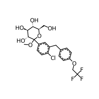 COC1(c2ccc(Cl)c(Cc3ccc(OCC(F)(F)F)cc3)c2)O[C@H](CO)[C@@H](O)[C@H](O)[C@H]1O